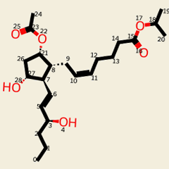 CCC[C@H](O)/C=C/[C@@H]1[C@@H](C/C=C\CCCC(=O)OC(C)C)[C@@H](OC(C)=O)C[C@H]1O